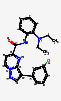 CCN(CC)c1ccccc1NC(=O)c1ccn2ncc(-c3cccc(Cl)c3)c2n1